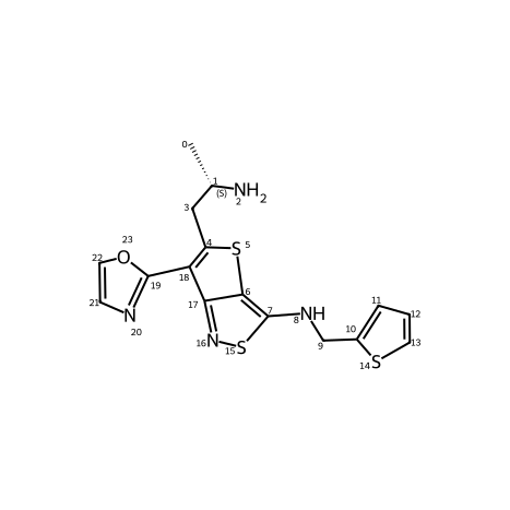 C[C@H](N)Cc1sc2c(NCc3cccs3)snc2c1-c1ncco1